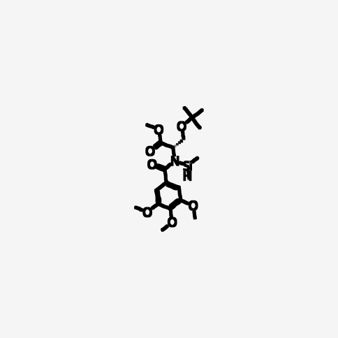 COC(=O)[C@H](COC(C)(C)C)N(C(=O)c1cc(OC)c(OC)c(OC)c1)[SiH](C)C